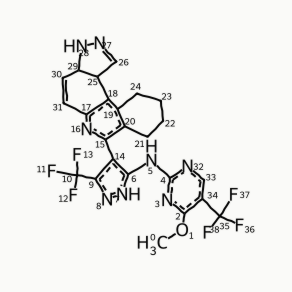 COc1nc(Nc2[nH]nc(C(F)(F)F)c2-c2nc3c(c4c2CCCC4)C2C=NNC2C=C3)ncc1C(F)(F)F